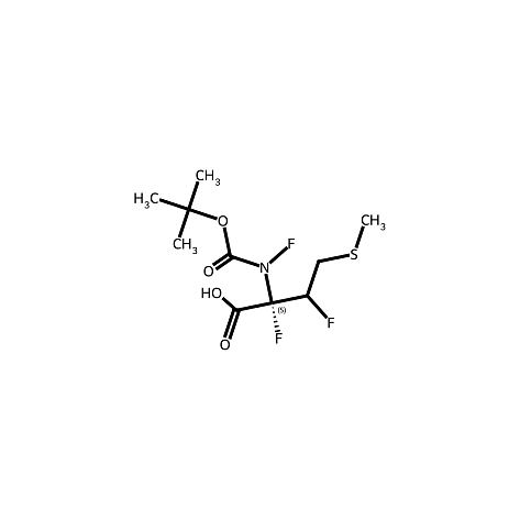 CSCC(F)[C@@](F)(C(=O)O)N(F)C(=O)OC(C)(C)C